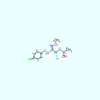 CON=C(OCc1ccc(Cl)cc1)C(F)CC(C)O